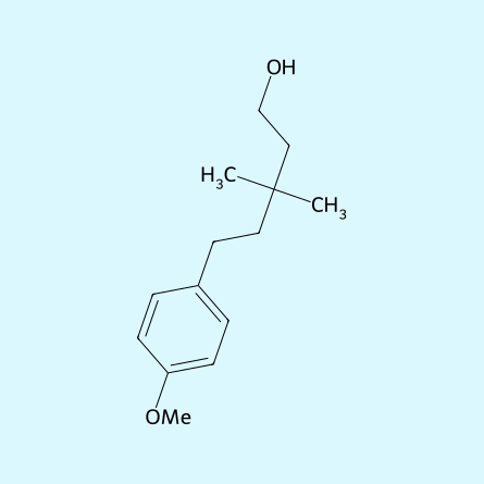 COc1ccc(CCC(C)(C)CCO)cc1